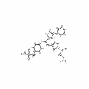 CCOC(=O)c1csc(NC(Cc2[c]cc(NS(=O)(=O)O)cc2)c2csc(-c3ccccc3)n2)n1